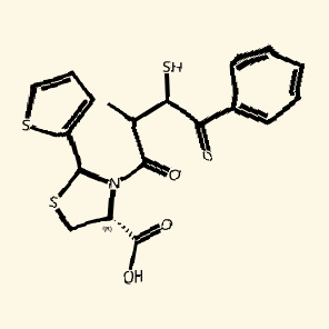 CC(C(=O)N1C(c2cccs2)SC[C@H]1C(=O)O)C(S)C(=O)c1ccccc1